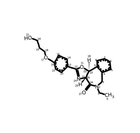 CCN1Cc2ccccc2[C@@H]2OC(c3ccc(OCCCO)cc3)=N[C@H]2C1=O